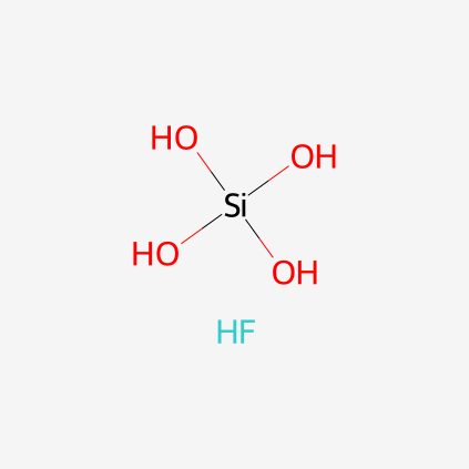 F.O[Si](O)(O)O